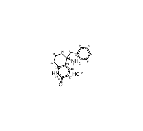 Cl.NC1(Cc2ccccc2)CCCc2[nH]c(=O)ccc21